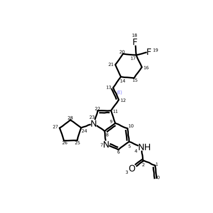 C=CC(=O)Nc1cnc2c(c1)c(/C=C/C1CCC(F)(F)CC1)cn2C1CCCC1